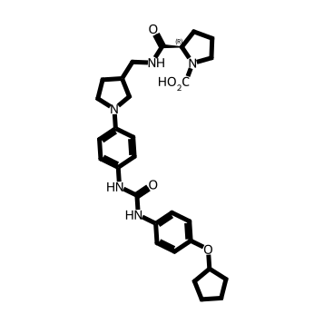 O=C(Nc1ccc(OC2CCCC2)cc1)Nc1ccc(N2CCC(CNC(=O)[C@H]3CCCN3C(=O)O)C2)cc1